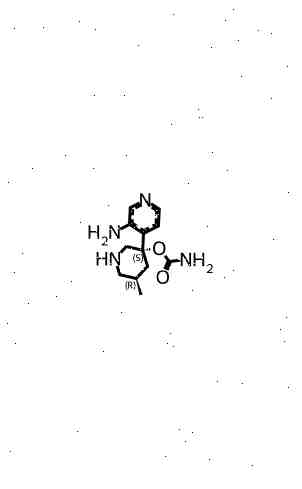 C[C@H]1CNC[C@@](OC(N)=O)(c2ccncc2N)C1